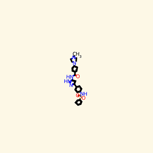 CN1CCN(c2ccc(C(=O)Nc3cc(-c4ccc(NS(=O)(=O)c5ccccc5)cc4)n[nH]3)cc2)CC1